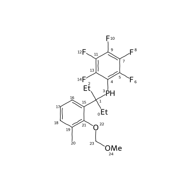 CCC(CC)(Pc1c(F)c(F)c(F)c(F)c1F)c1cccc(C)c1OCOC